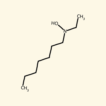 CCCCCCCN(O)CC